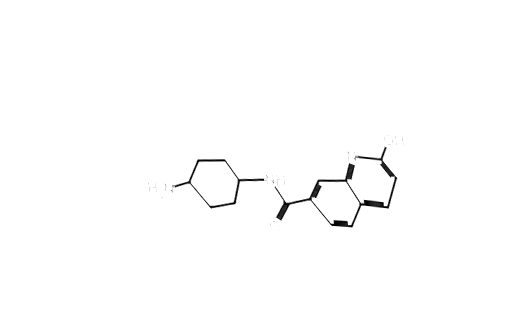 NC1CCC(NC(=O)c2ccc3ccc(O)nc3c2)CC1